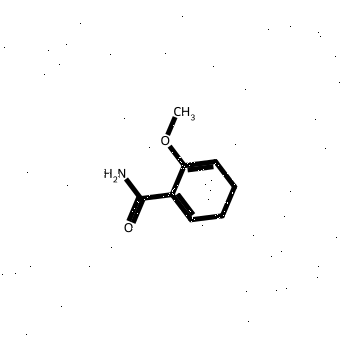 COC1=CCCC=C1C(N)=O